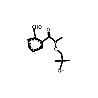 CN(OCC(C)(C)O)C(=O)c1ccccc1C=O